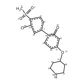 CS(=O)(=O)c1ccc(-n2ccc(OC3CCNCC3)cc2=O)cc1Cl